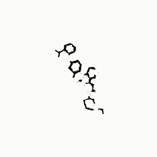 CCN1CCCC(NC(=O)c2sc3nccc4c3c2NC(=O)N4c2ccc(Oc3ccccc3C(C)C)cc2C)C1